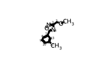 COCc1noc(-c2cccc(C)c2)n1